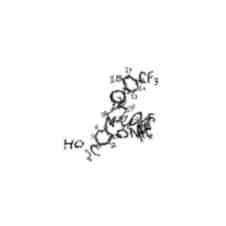 COc1cc(C(=O)O)ccc1N1C[C@@H](Oc2ccc(C(F)(F)F)cc2)C[C@H]1COC(F)F